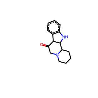 O=C1CN2CCCCC2C2Nc3ccccc3C12